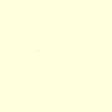 CC(=O)NCc1ccc(NC(=O)NC23CC4CC(C2)C(C(C)(C)C)C(C4)C3)cc1